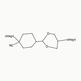 CCCCCCCC1COC(C2CCC(C#N)(CCCCCCC)CC2)OC1